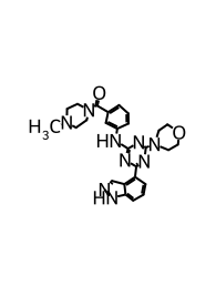 CN1CCN(C(=O)c2cccc(Nc3nc(-c4cccc5[nH]ncc45)nc(N4CCOCC4)n3)c2)CC1